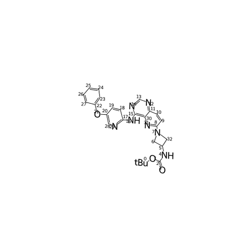 CC(C)(C)OC(=O)NC1CN(c2ccc3ncnc(Nc4ccc(Oc5ccccc5)cn4)c3n2)C1